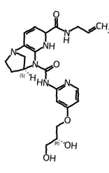 C=CCNC(=O)C1C=CC2=C(N1)N(C(=O)Nc1cc(OC[C@H](O)CO)ccn1)[C@H]1CCN2C1